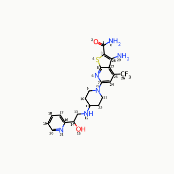 NC(=O)c1sc2nc(N3CCC(NCC(O)c4ccccn4)CC3)cc(C(F)(F)F)c2c1N